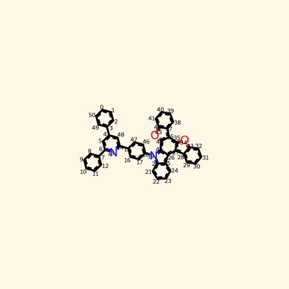 c1ccc(-c2cc(-c3ccccc3)nc(-c3ccc(-n4c5ccccc5c5c6c7ccccc7oc6c6c7ccccc7oc6c54)cc3)c2)cc1